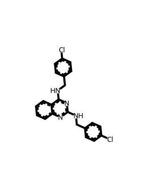 Clc1ccc(CNc2nc(NCc3ccc(Cl)cc3)c3ccccc3n2)cc1